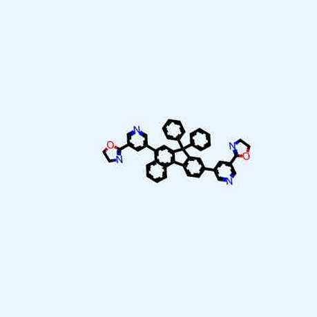 c1ccc(C2(c3ccccc3)c3cc(-c4cncc(C5=NCCO5)c4)ccc3-c3c2cc(-c2cncc(C4=NCCO4)c2)c2ccccc32)cc1